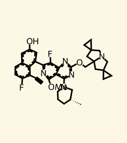 C#Cc1c(F)ccc2cc(O)cc(-c3nc(OC)c4c(N5CCC[C@@H](C)C5)nc(OCC56CC7(CC7)CN5CC5(CC5)C6)nc4c3F)c12